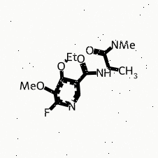 CCOc1c(C(=O)NC(C)C(=O)NC)cnc(F)c1OC